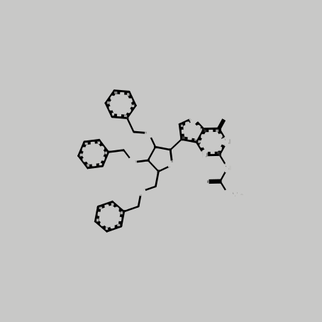 COC(=O)Nc1nc2c(C3OC(COCc4ccccc4)C(OCc4ccccc4)C3OCc3ccccc3)coc2c(=O)[nH]1